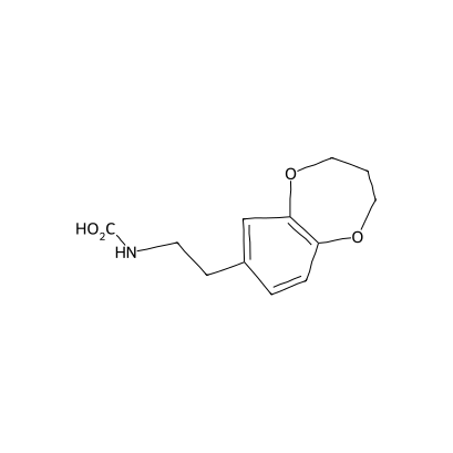 O=C(O)NCCc1ccc2c(c1)OCCCO2